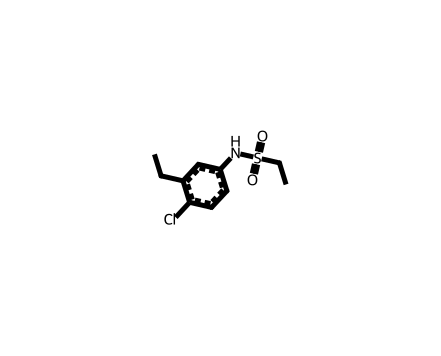 CCc1cc(NS(=O)(=O)CC)ccc1Cl